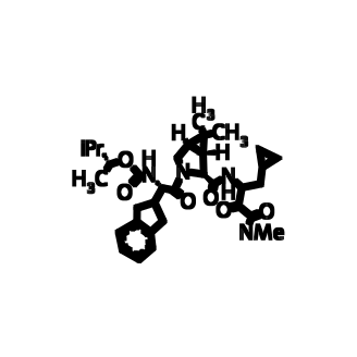 CNC(=O)C(=O)C(CC1CC1)NC(=O)[C@@H]1[C@@H]2[C@H](CN1C(=O)[C@@H](NC(=O)O[C@H](C)C(C)C)C1Cc3ccccc3C1)C2(C)C